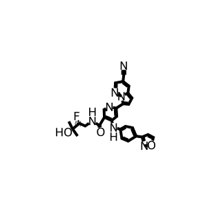 CC(C)(O)[C@H](F)CNC(=O)c1cnc(-c2ccc3cc(C#N)cnn23)cc1Nc1ccc(-c2ccon2)cc1